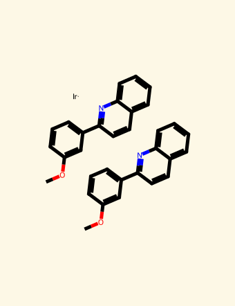 COc1cccc(-c2ccc3ccccc3n2)c1.COc1cccc(-c2ccc3ccccc3n2)c1.[Ir]